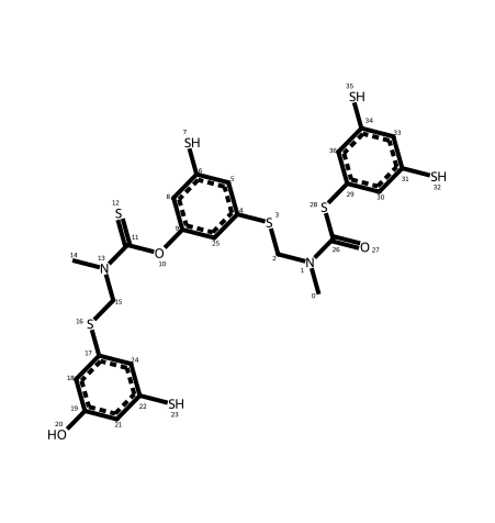 CN(CSc1cc(S)cc(OC(=S)N(C)CSc2cc(O)cc(S)c2)c1)C(=O)Sc1cc(S)cc(S)c1